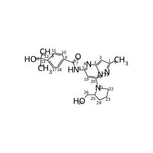 Cc1cc2nc(NC(=O)c3ccc(C(C)(C)O)cc3)cc(N3CCCC3CO)n2n1